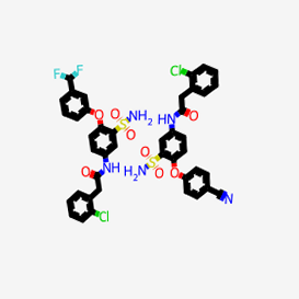 N#Cc1ccc(Oc2ccc(NC(=O)Cc3ccccc3Cl)cc2S(N)(=O)=O)cc1.NS(=O)(=O)c1cc(NC(=O)Cc2ccccc2Cl)ccc1Oc1cccc(C(F)F)c1